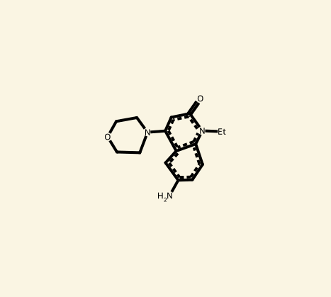 CCn1c(=O)cc(N2CCOCC2)c2cc(N)ccc21